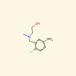 CN(CCO)Cc1cc([N+](=O)[O-])ccc1F